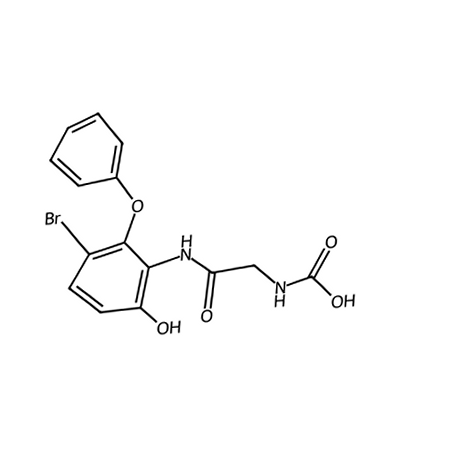 O=C(O)NCC(=O)Nc1c(O)ccc(Br)c1Oc1ccccc1